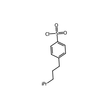 CC(C)CCCc1ccc(S(=O)(=O)Cl)cc1